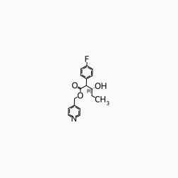 CC[C@@H](O)C(C(=O)OCc1ccncc1)c1ccc(F)cc1